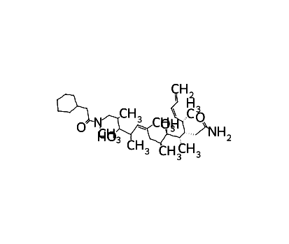 C=C/C=C\[C@H](C)[C@H](CC(N)=O)[C@H](C)[C@H](O)[C@@H](C)C/C(C)=C\C(C)C(O)C(C)CN(C)C(=O)CC1CCCCC1